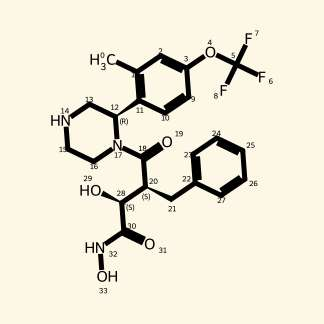 Cc1cc(OC(F)(F)F)ccc1[C@@H]1CNCCN1C(=O)[C@@H](Cc1ccccc1)[C@H](O)C(=O)NO